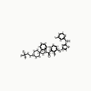 Cc1ccnc(Nc2ncc(Sc3ccnc(C(=O)NCC4(c5ccccc5)CCN(CCC(F)(F)F)CC4)c3F)s2)c1